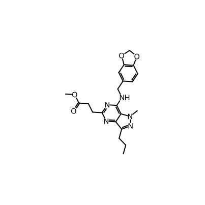 CCCc1nn(C)c2c(NCc3ccc4c(c3)OCO4)nc(CCC(=O)OC)nc12